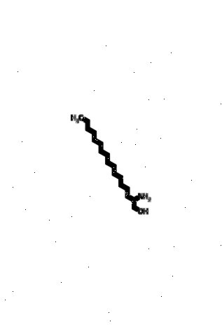 CCCCCCCCCCCCCCCC(N)CO